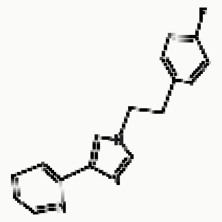 Fc1ccc(CCn2cnc(-c3ccccn3)c2)cc1